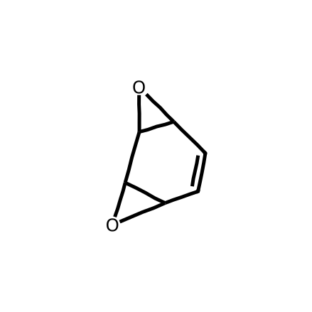 C1=CC2OC2C2OC12